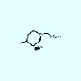 C#N.CCCCCCN1CCC(C)CC1